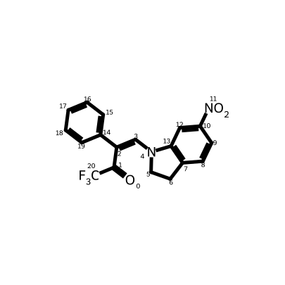 O=C(/C(=C\N1CCc2ccc([N+](=O)[O-])cc21)c1ccccc1)C(F)(F)F